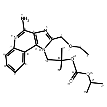 CCOCc1nc2c(N)nc3ccccc3c2n1CC(C)(C)OC(=O)OC(C)C